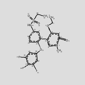 CCOc1cc(=O)n(C)cc1-c1cc(NS(=O)(=O)CC)ccc1Oc1cc(F)c(F)c(F)c1